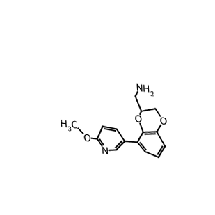 COc1ccc(-c2cccc3c2OC(CN)CO3)cn1